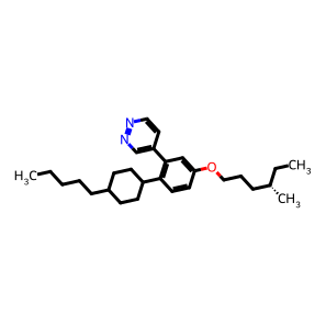 CCCCCC1CCC(c2ccc(OCCC[C@@H](C)CC)cc2-c2ccnnc2)CC1